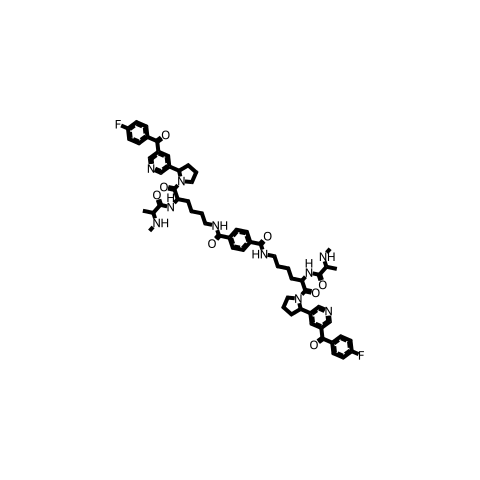 CNC(C)C(=O)NC(CCCCNC(=O)c1ccc(C(=O)NCCCCC(NC(=O)C(C)NC)C(=O)N2CCCC2c2cncc(C(=O)c3ccc(F)cc3)c2)cc1)C(=O)N1CCCC1c1cncc(C(=O)c2ccc(F)cc2)c1